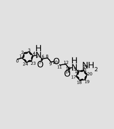 Cc1ccc(NC(=O)CCOCCC(=O)Nc2ccccc2N)cc1